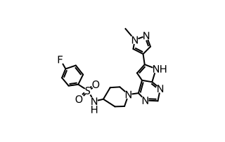 Cn1cc(-c2cc3c(N4CCC(NS(=O)(=O)c5ccc(F)cc5)CC4)ncnc3[nH]2)cn1